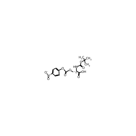 CC(C)(C)OC(=O)N[C@@H](COC(=O)Oc1ccc([N+](=O)[O-])cc1)C(=O)O